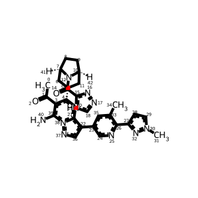 CC(=O)c1c([C@@H]2C[C@H]3CC[C@@H](C2)N3C(=O)c2nnc[nH]2)nc2c(-c3cnc(-c4ccn(C)n4)c(C)c3)cnn2c1N